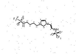 O=S(=O)(NC=CN1C=CN(CCCCNS(=O)(=O)C(F)(F)F)C1)C(F)(F)F